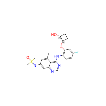 Cc1cc(N=S(C)(C)=O)cc2ncnc(Nc3ccc(F)cc3O[C@@H]3CC[C@H]3O)c12